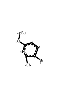 CCCCOc1ccc(Br)c(C#N)n1